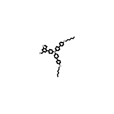 CCCCCCOc1ccc(-c2ccc(N(c3ccc(-c4ccc(OCCCCCC)cc4)cc3)c3ccc(-c4cc(C=O)cc5occc45)cc3)cc2)cc1